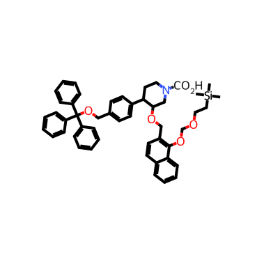 C[Si](C)(C)CCOCOc1c(COC2CN(C(=O)O)CCC2c2ccc(COC(c3ccccc3)(c3ccccc3)c3ccccc3)cc2)ccc2ccccc12